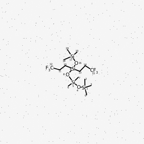 C[Si](C)(C)O[Si](C)(C)O[Si](CCC(F)(F)F)(CCC(F)(F)F)O[Si](C)(C)C